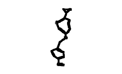 COc1ccc(COc2ccc(C3CO3)nc2)cc1